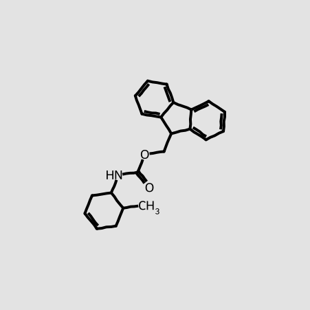 CC1CC=CCC1NC(=O)OCC1c2ccccc2-c2ccccc21